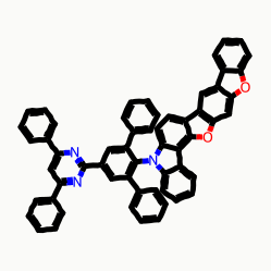 c1ccc(-c2cc(-c3ccccc3)nc(-c3cc(-c4ccccc4)c(-n4c5ccccc5c5c6oc7cc8oc9ccccc9c8cc7c6ccc54)c(-c4ccccc4)c3)n2)cc1